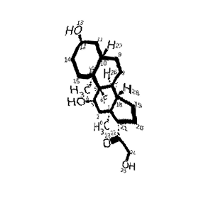 C[C@]12C[C@@H](O)[C@@]3(F)[C@@H](CC[C@H]4C[C@H](O)CC[C@@]43C)[C@@H]1CC[C@@H]2C(=O)CO